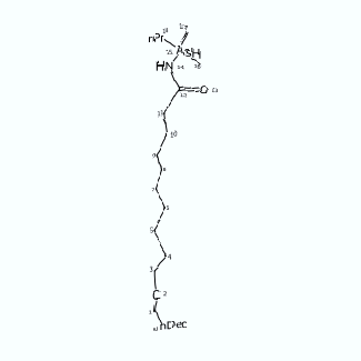 CCCCCCCCCCCCCCCCCCCCCC(=O)N[AsH](C)(C)CCC